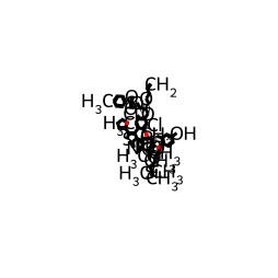 C=CCOC[C@H](COS(=O)(=O)c1ccc(C)cc1)Oc1c(Cl)c(C)c(-c2c(C3=CCCC3)sc3ncnc(O[C@H](Cc4cc(O)ccc4OCOCC[Si](C)(C)C)C(=O)OC(C)(C)C)c23)c(C)c1Cl